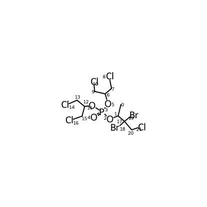 CC(OP(=O)(OC(CCl)CCl)OC(CCl)CCl)C(Br)(Br)CCl